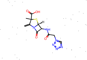 C=C1N2C(=O)C(NC(=O)Cn3cnnn3)[C@H]2SC1(C)C(=O)O